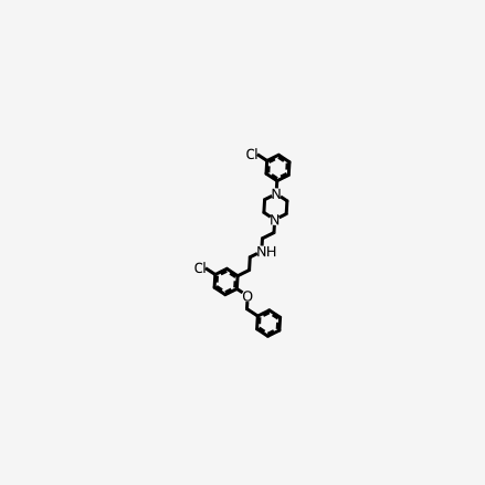 Clc1cccc(N2CCN(CCNCCc3cc(Cl)ccc3OCc3ccccc3)CC2)c1